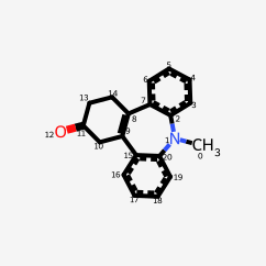 CN1c2ccccc2C2=C(CC(=O)CC2)c2ccccc21